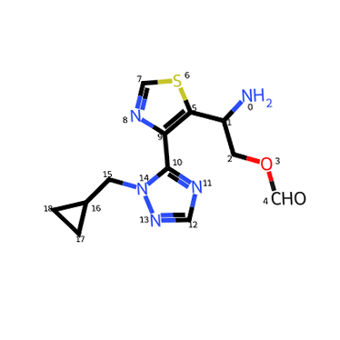 NC(COC=O)c1scnc1-c1ncnn1CC1CC1